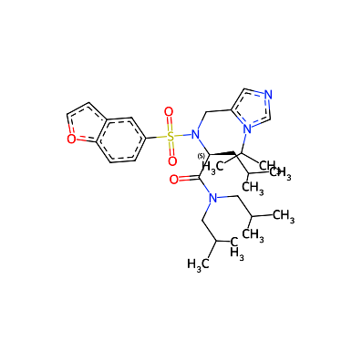 CC(C)C[C@@H](C(=O)N(CC(C)C)CC(C)C)N(Cc1cncn1C(C)C)S(=O)(=O)c1ccc2occc2c1